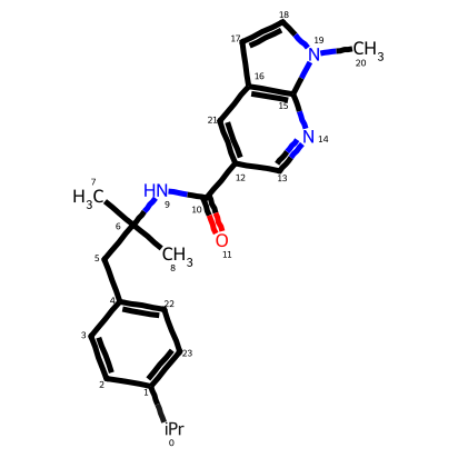 CC(C)c1ccc(CC(C)(C)NC(=O)c2cnc3c(ccn3C)c2)cc1